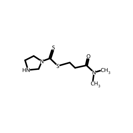 CN(C)C(=O)CCSC(=S)N1CCNC1